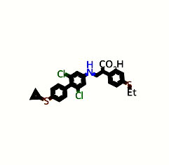 CCSc1ccc(C(CNc2cc(Cl)c(-c3ccc(SC4CC4)cc3)c(Cl)c2)C(=O)O)cc1